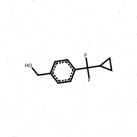 OCc1ccc(C(F)(F)C2CC2)cc1